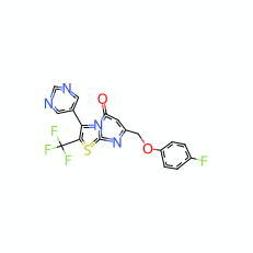 O=c1cc(COc2ccc(F)cc2)nc2sc(C(F)(F)F)c(-c3cncnc3)n12